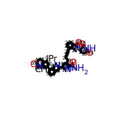 CC(C)c1cc(-c2cccc3cc(-c4cnc(C(N)=O)c(CCC#Cc5cccc6c5CN(C5CCC(=O)NC5=O)C6=O)c4)ncc23)cc2c1CCC(=O)N2C